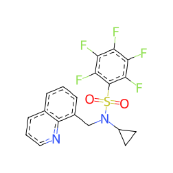 O=S(=O)(c1c(F)c(F)c(F)c(F)c1F)N(Cc1cccc2cccnc12)C1CC1